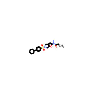 C=CC(=O)Nc1cc2c(o1)CN(S(=O)(=O)c1ccc(C3CCCCC3)cc1)C2